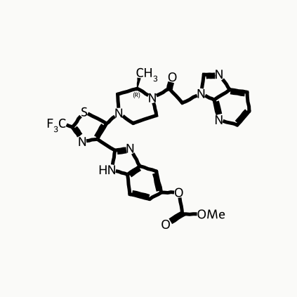 COC(=O)Oc1ccc2[nH]c(-c3nc(C(F)(F)F)sc3N3CCN(C(=O)Cn4cnc5cccnc54)[C@H](C)C3)nc2c1